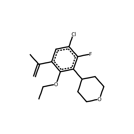 C=C(C)c1cc(Cl)c(F)c(C2CCOCC2)c1OCC